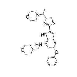 CC(C1CSC(c2cc3cc(Oc4ccccc4)cc(NCC4CCOCC4)c3[nH]2)=N1)N1CCOCC1